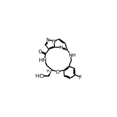 O=C1NC[C@H](CO)Oc2ccc(F)cc2CNc2ccn3ncc1c3n2